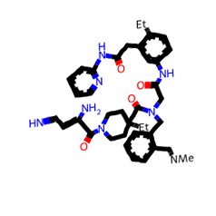 CCc1ccc(NC(=O)CN(Cc2ccccc2CNC)C(=O)C2(CC)CCN(C(=O)/C(N)=C/C=N)CC2)cc1CC(=O)Nc1ccccn1